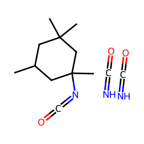 CC1CC(C)(C)CC(C)(N=C=O)C1.N=C=O.N=C=O